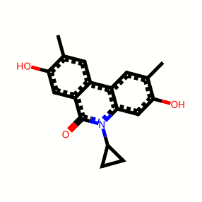 Cc1cc2c(cc1O)c(=O)n(C1CC1)c1cc(O)c(C)cc21